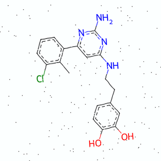 Cc1c(Cl)cccc1-c1cc(NCCc2ccc(O)c(O)c2)nc(N)n1